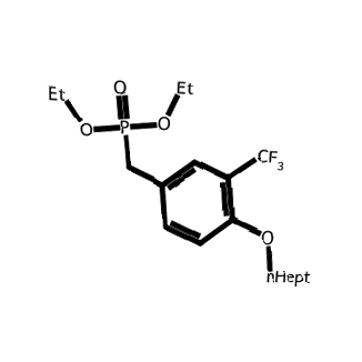 CCCCCCCOc1ccc(CP(=O)(OCC)OCC)cc1C(F)(F)F